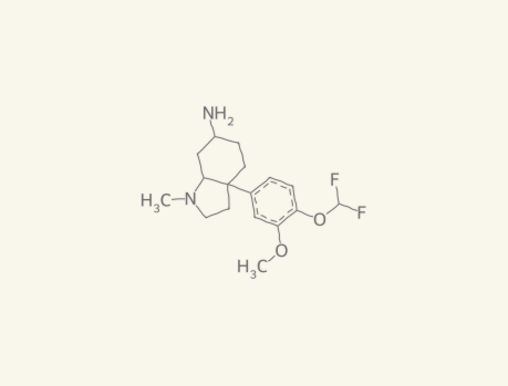 COc1cc(C23CCC(N)CC2N(C)CC3)ccc1OC(F)F